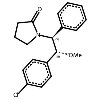 CO[C@H](c1ccc(Cl)cc1)[C@H](c1ccccc1)N1CCCC1=O